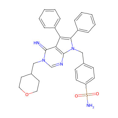 N=c1c2c(-c3ccccc3)c(-c3ccccc3)n(Cc3ccc(S(N)(=O)=O)cc3)c2ncn1CC1CCOCC1